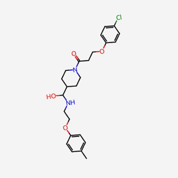 Cc1ccc(OCCNC(O)C2CCN(C(=O)CCOc3ccc(Cl)cc3)CC2)cc1